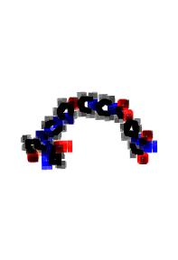 O=C1CCN(c2ccc(OCC(=O)N3CCC(N4CCC(Oc5ccc(N6CCN(c7nc8c(c(NC9(CO)CCC9)n7)[S@+]([O-])CC8)CC6)nc5)CC4)CC3)cc2)C(=O)N1